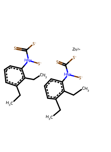 CCc1cccc([NH+]([S-])C(=S)[S-])c1CC.CCc1cccc([NH+]([S-])C(=S)[S-])c1CC.[Zn+2]